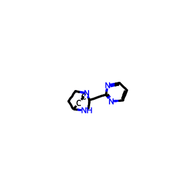 c1cnc(C2CNC3CCN2CC3)nc1